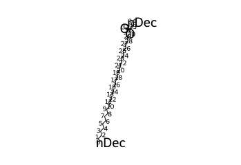 CCCCCCCCCCCCCCCCCCCCCCCCCCCCCCCCCCCCCCCOC(=O)CCCCCCCCCCC